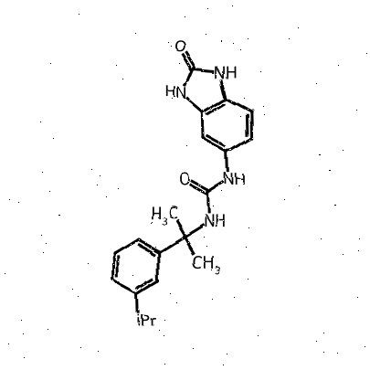 CC(C)c1cccc(C(C)(C)NC(=O)Nc2ccc3[nH]c(=O)[nH]c3c2)c1